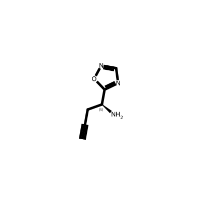 C#CC[C@H](N)c1ncno1